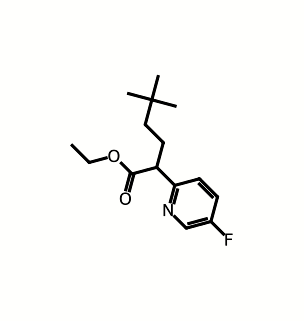 CCOC(=O)C(CCC(C)(C)C)c1ccc(F)cn1